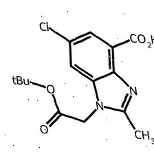 Cc1nc2c(C(=O)O)cc(Cl)cc2n1CC(=O)OC(C)(C)C